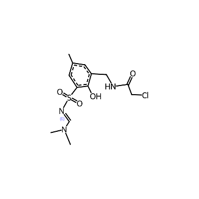 Cc1cc(CNC(=O)CCl)c(O)c(S(=O)(=O)/N=C/N(C)C)c1